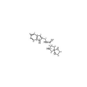 O=C(NCc1cc2cnccc2[nH]1)[C@@H]1CC2(CN1)OCCO2